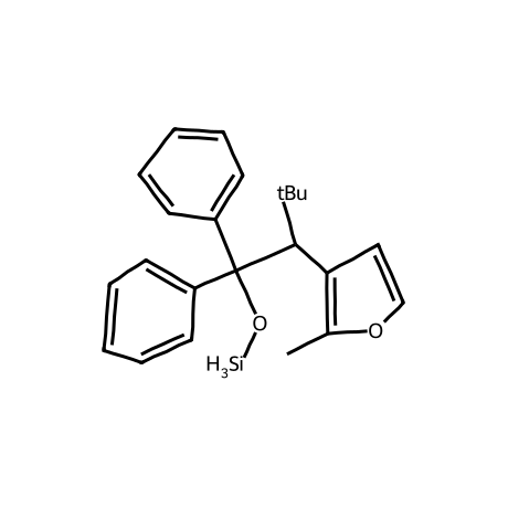 Cc1occc1C(C(C)(C)C)C(O[SiH3])(c1ccccc1)c1ccccc1